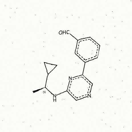 C[C@H](Nc1cncc(-c2cccc(C=O)c2)n1)C1CC1